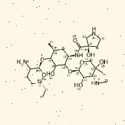 CC[C@@H]1CCC(N)[C@@H](OC2C(O)C(O[C@H]3OCC(C)(O)[C@H](NC)C3O)[C@H](NC(=O)[C@@]3(O)CCNC3)C[C@@H]2C)O1